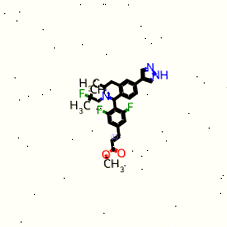 COC(=O)/C=C/c1cc(F)c(C2c3ccc(-c4cn[nH]c4)cc3CC(C)N2CC(C)(C)F)c(F)c1